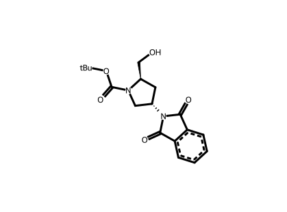 CC(C)(C)OC(=O)N1C[C@@H](N2C(=O)c3ccccc3C2=O)C[C@@H]1CO